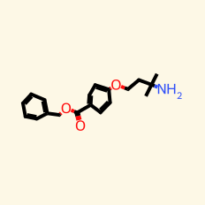 CC(C)(N)CCOc1ccc(C(=O)OCc2ccccc2)cc1